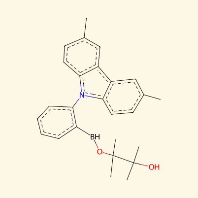 Cc1ccc2c(c1)c1cc(C)ccc1n2-c1ccccc1BOC(C)(C)C(C)(C)O